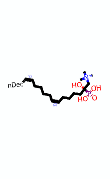 CCCCCCCCCC/C=C\CCCC/C=C\CCCCC(O)(C[N+](C)(C)C)P(=O)(O)O